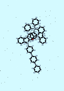 c1ccc(-c2ccc(-c3ccc(-n4c5ccccc5c5ccc(-n6c7ccccc7c7cccc([Si](c8ccccc8)(c8ccccc8)c8ccccc8)c76)cc54)cc3)cc2)cc1